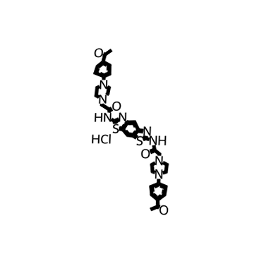 CC(=O)c1ccc(N2CCN(CC(=O)Nc3nc4cc5nc(NC(=O)CN6CCN(c7ccc(C(C)=O)cc7)CC6)sc5cc4s3)CC2)cc1.Cl